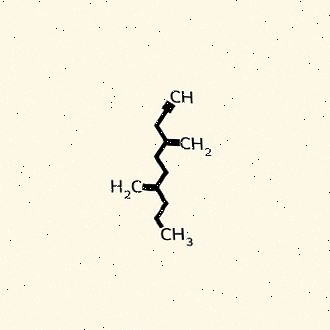 C#CCC(=C)CCC(=C)CCC